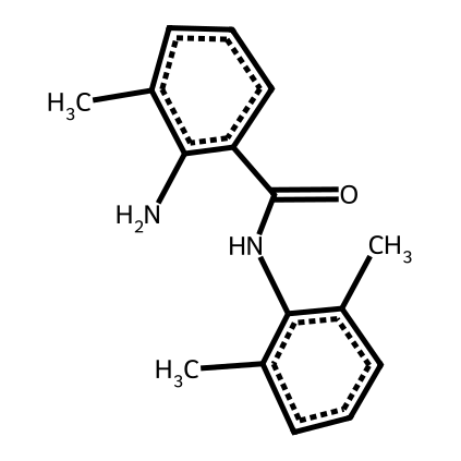 Cc1cccc(C(=O)Nc2c(C)cccc2C)c1N